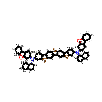 c1ccc2c(N(c3ccc4c(c3)oc3ccccc34)c3ccc4c(c3)sc3cc5c(cc34)sc3cc4c(cc35)sc3cc(N(c5ccc6c(c5)oc5ccccc56)c5cccc6ccccc56)ccc34)cccc2c1